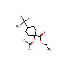 CCOC(=O)C1(O[SiH](C)C)CCC(C(C)(C)C)CC1